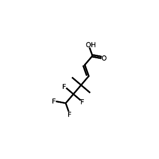 CC(C)(C=CC(=O)O)C(F)(F)C(F)F